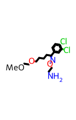 COCCOCCCCC(=NOCCN)c1ccc(Cl)c(Cl)c1